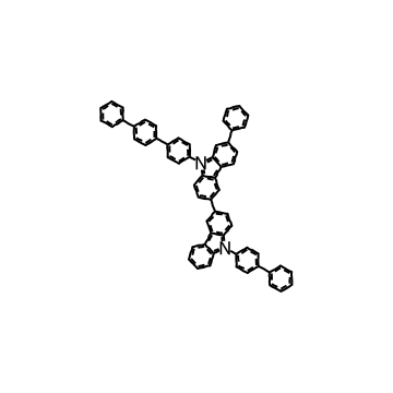 c1ccc(-c2ccc(-c3ccc(-n4c5ccc(-c6ccc7c(c6)c6ccccc6n7-c6ccc(-c7ccccc7)cc6)cc5c5ccc(-c6ccccc6)cc54)cc3)cc2)cc1